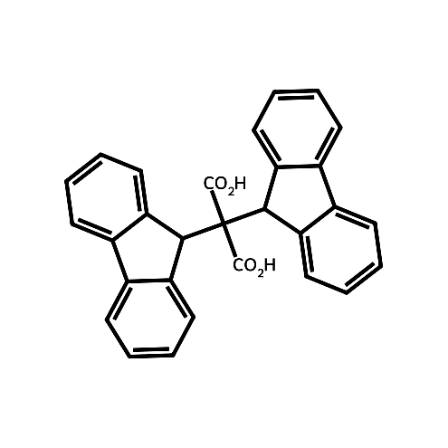 O=C(O)C(C(=O)O)(C1c2ccccc2-c2ccccc21)C1c2ccccc2-c2ccccc21